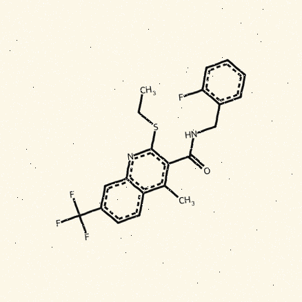 CCSc1nc2cc(C(F)(F)F)ccc2c(C)c1C(=O)NCc1ccccc1F